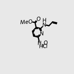 C=CCNc1nc(C)ccc1C(=O)OC.Cl.O